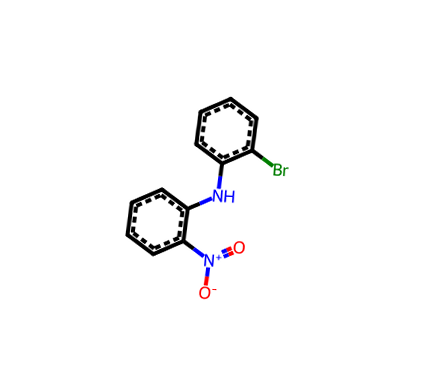 O=[N+]([O-])c1ccccc1Nc1ccccc1Br